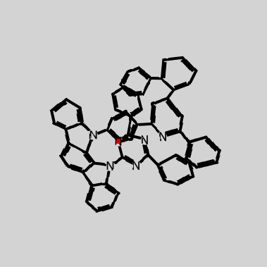 c1ccc(-c2cc(-c3ccccc3-c3ccccc3)cc(-c3ccc(-n4c5ccccc5c5ccc6c7ccccc7n(-c7nc(-c8ccccc8)nc(-c8ccccc8)n7)c6c54)cc3)n2)cc1